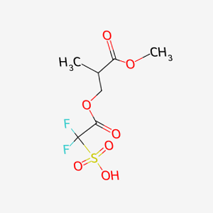 COC(=O)C(C)COC(=O)C(F)(F)S(=O)(=O)O